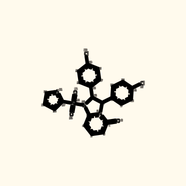 O=c1cccc2n1C(c1ccc(Cl)cc1)C(c1ccc(Cl)cc1)N2S(=O)(=O)c1cccs1